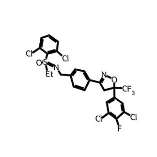 CCS(=O)(=NCc1ccc(C2=NOC(c3cc(Cl)c(F)c(Cl)c3)(C(F)(F)F)C2)cc1)c1c(Cl)cccc1Cl